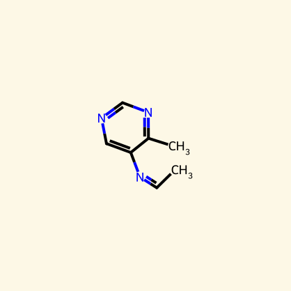 C/C=N\c1cncnc1C